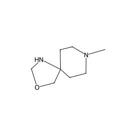 CN1CCC2(CC1)COCN2